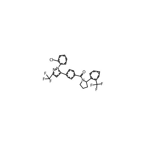 O=C(c1ccc(-c2cc(C(F)(F)F)nn2-c2ccccc2Cl)cc1)N1CCCC1c1ccccc1C(F)(F)F